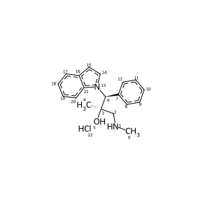 CNC[C@@](C)(O)[C@H](c1ccccc1)n1ccc2ccccc21.Cl